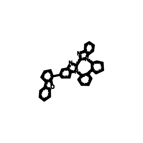 c1ccc2c(c1)nc1c3nc4cc(-c5cccc6c5oc5ccccc56)ccc4n3c3ccccc3c3ccccc3n21